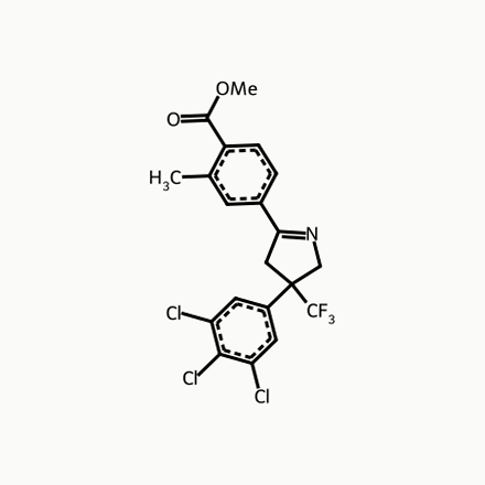 COC(=O)c1ccc(C2=NCC(c3cc(Cl)c(Cl)c(Cl)c3)(C(F)(F)F)C2)cc1C